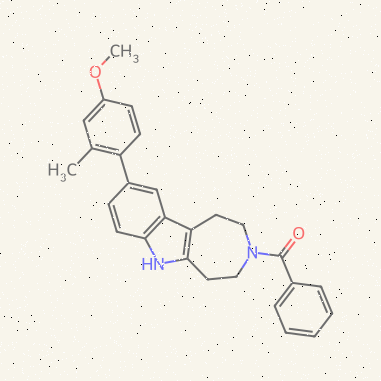 COc1ccc(-c2ccc3[nH]c4c(c3c2)CCN(C(=O)c2ccccc2)CC4)c(C)c1